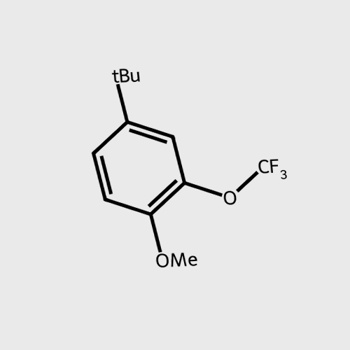 COc1ccc(C(C)(C)C)cc1OC(F)(F)F